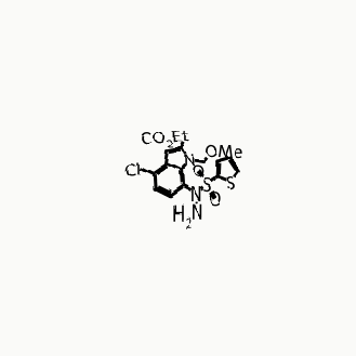 CCOC(=O)c1cc2c(Cl)ccc(N(N)S(=O)(=O)c3cccs3)c2n1COC